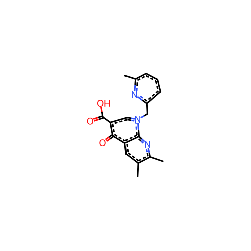 Cc1cccc(Cn2cc(C(=O)O)c(=O)c3cc(C)c(C)nc32)n1